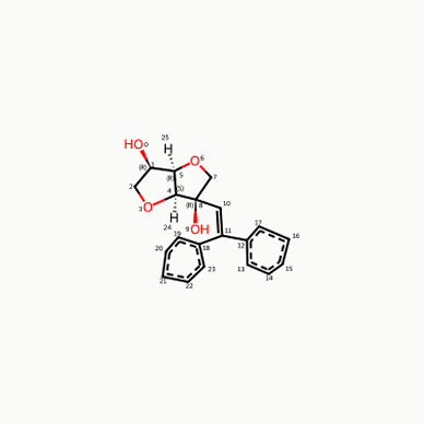 O[C@@H]1CO[C@H]2[C@@H]1OC[C@]2(O)C=C(c1ccccc1)c1ccccc1